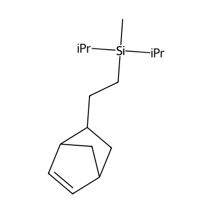 CC(C)[Si](C)(CCC1CC2C=CC1C2)C(C)C